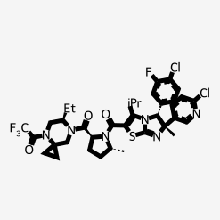 CC[C@@H]1CN(C(=O)C(F)(F)F)C2(CC2)CN1C(=O)[C@@H]1CC[C@@H](C)N1C(=O)C1=C(C(C)C)N2C(=N[C@@](C)(c3ccc(Cl)nc3)[C@H]2c2ccc(Cl)c(F)c2)S1